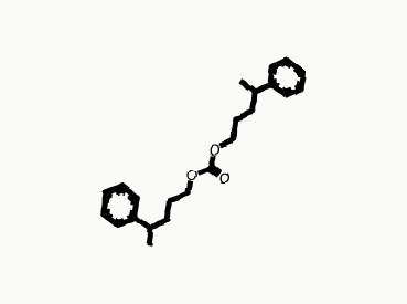 CC(CCCOC(=O)OCCCC(C)c1ccccc1)c1ccccc1